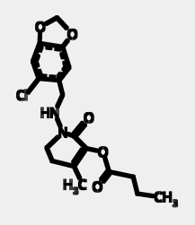 CCCC(=O)OC1=C(C)CCN(NCc2cc3c(cc2Cl)OCO3)C1=O